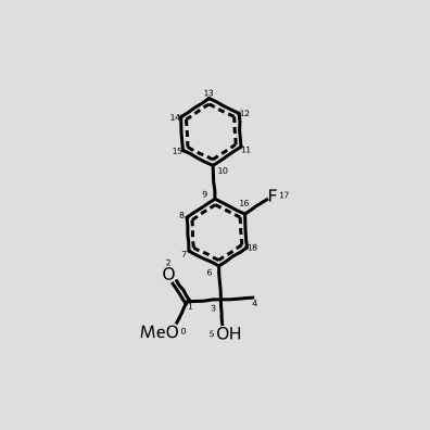 COC(=O)C(C)(O)c1ccc(-c2ccccc2)c(F)c1